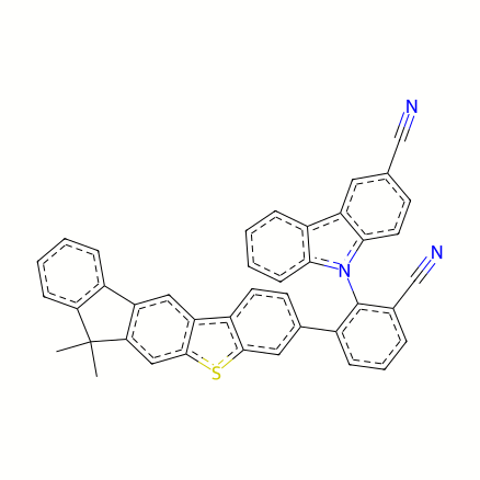 CC1(C)c2ccccc2-c2cc3c(cc21)sc1cc(-c2cccc(C#N)c2-n2c4ccccc4c4cc(C#N)ccc42)ccc13